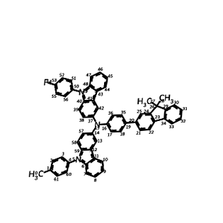 Cc1ccc(-n2c3ccccc3c3cc(N(c4ccc(-c5ccc6c(c5)C(C)(C)c5ccccc5-6)cc4)c4ccc5c(c4)c4ccccc4n5-c4ccc(F)cc4)ccc32)cc1